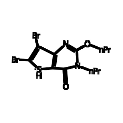 CCCOc1nc2c(c(=O)n1CCC)[SH]C(Br)=C2Br